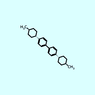 C[C@H]1CC[C@H](c2ccc(-c3ccc([C@H]4CC[C@H](C)CC4)cc3)cc2)CC1